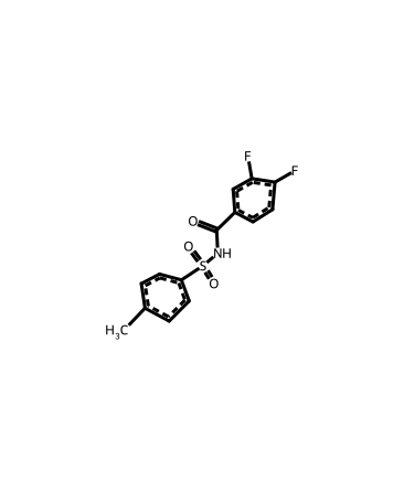 Cc1ccc(S(=O)(=O)NC(=O)c2ccc(F)c(F)c2)cc1